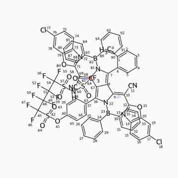 Cc1ccccc1-c1c2/c(=C(\C#N)c3nc4ccc(Cl)cc4o3)n(B(c3ccccc3)c3ccccc3)c(-c3ccc(OS(=O)(=O)C(F)(F)C(F)(F)C(F)(F)C(F)(F)S(=O)(=O)NS(=O)(=O)C(F)(F)F)cc3)c2/c(=C(\C#N)c2nc3ccc(Cl)cc3o2)n1B(c1ccccc1)c1ccccc1